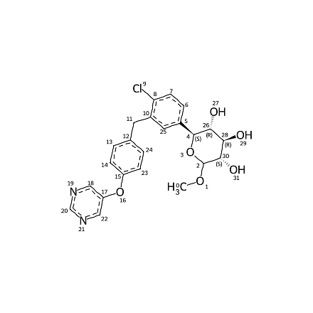 COC1O[C@@H](c2ccc(Cl)c(Cc3ccc(Oc4cncnc4)cc3)c2)[C@H](O)[C@@H](O)[C@@H]1O